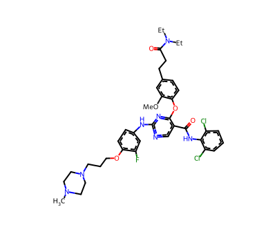 CCN(CC)C(=O)CCc1ccc(Oc2nc(Nc3ccc(OCCCN4CCN(C)CC4)c(F)c3)ncc2C(=O)Nc2c(Cl)cccc2Cl)c(OC)c1